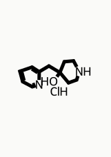 Cl.OC1(Cc2ccccn2)CCNCC1